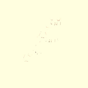 CC(=O)NC1CC2(CCN(Cc3ccccc3)CC2)Oc2ccc(C=CC(=O)NO)cc21